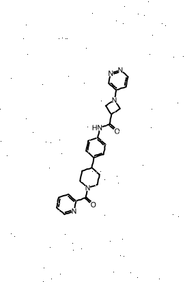 O=C(Nc1ccc(C2CCN(C(=O)c3ccccn3)CC2)cc1)C1CN(c2ccnnc2)C1